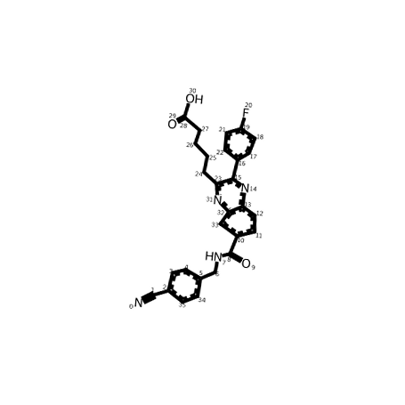 N#Cc1ccc(CNC(=O)c2ccc3nc(-c4ccc(F)cc4)c(CCCCC(=O)O)nc3c2)cc1